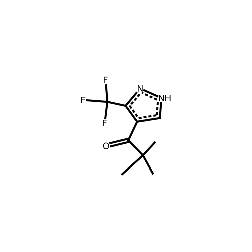 CC(C)(C)C(=O)c1c[nH]nc1C(F)(F)F